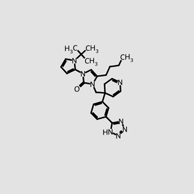 CCCCc1cn(-c2cccn2C(C)(C)C)c(=O)n1CC1(c2cccc(-c3nnn[nH]3)c2)C=CN=CC1